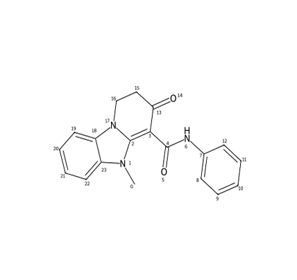 CN1C2=C(C(=O)Nc3ccccc3)C(=O)CCN2c2ccccc21